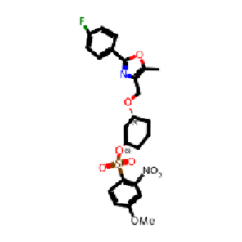 COc1ccc(S(=O)(=O)O[C@H]2CCC[C@@H](OCc3nc(-c4ccc(F)cc4)oc3C)C2)c([N+](=O)[O-])c1